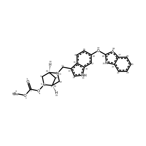 CC(C)(C)OC(=O)ON1C[C@@H]2C[C@H]1CN2Cc1c[nH]c2cc(Oc3nc4ccccc4s3)ccc12